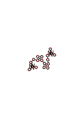 c1ccc(-c2nc(-c3ccccc3)nc(-c3cccc(-c4ccc(-c5ccc6c(c5)C5(c7ccccc7-c7cc(-c8ccc9c(c8)-c8ccc(-c%10cccc(-c%11cccc(-c%12nc(-c%13ccccc%13)nc(-c%13ccccc%13)n%12)c%11)c%10)cc8C98c9ccccc9-c9ccccc98)ccc75)c5ccccc5-6)cc4)c3)n2)cc1